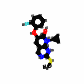 CSc1ncc2cc(Oc3ccccc3F)c(=O)n(C3CC3)c2n1